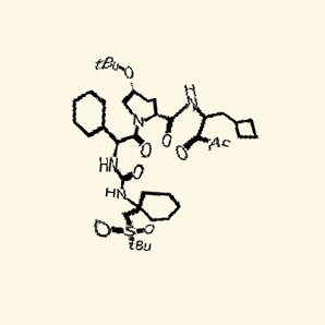 CC(=O)C(=O)C(CC1CCC1)NC(=O)[C@@H]1C[C@@H](OC(C)(C)C)CN1C(=O)[C@@H](NC(=O)NC1(CS(=O)(=O)C(C)(C)C)CCCCC1)C1CCCCC1